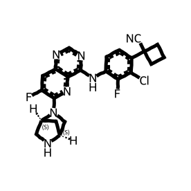 N#CC1(c2ccc(Nc3ncnc4cc(F)c(N5C[C@@H]6C[C@H]5CN6)nc34)c(F)c2Cl)CCC1